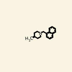 C=C1CCN(Cc2cccc3ccccc23)CC1